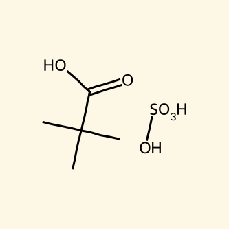 CC(C)(C)C(=O)O.O=S(=O)(O)O